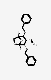 C=C[C@@H]1[C@H](OCc2ccccc2)[C@@H]2OC[C@@H](O2)[C@H]1OCc1ccccc1